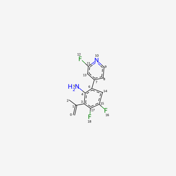 C=C(C)c1c(N)c(-c2ccnc(F)c2)cc(F)c1F